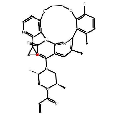 C=CC(=O)N1C[C@H](C)N(c2nc(=O)n3c4nc(c(F)cc24)-c2c(F)ccc(F)c2OCCOc2ccnc(C4CC4)c2-3)C[C@H]1C